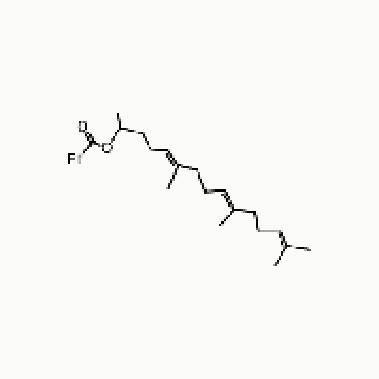 CCC(=O)OC(C)CC/C=C(\C)CC/C=C(\C)CCC=C(C)C